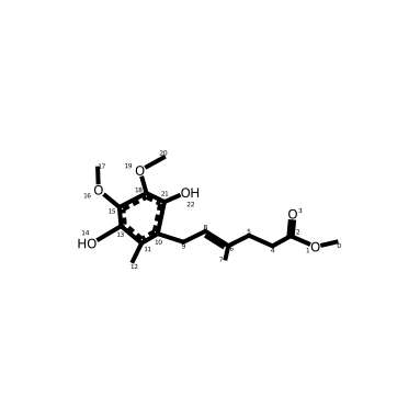 COC(=O)CC/C(C)=C/Cc1c(C)c(O)c(OC)c(OC)c1O